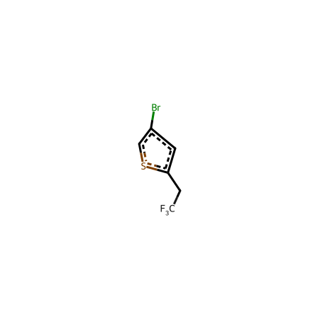 FC(F)(F)Cc1cc(Br)cs1